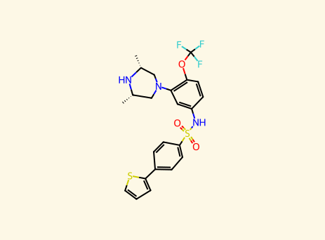 C[C@@H]1CN(c2cc(NS(=O)(=O)c3ccc(-c4cccs4)cc3)ccc2OC(F)(F)F)C[C@H](C)N1